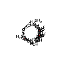 C[C@@H](O)[C@@H]1NC(=O)[C@H](Cc2c[nH]c3ccc(F)cc23)NC(=O)[C@H](Cc2c[nH]c3ccc(F)cc23)NC(=O)CNC(=O)[C@H](CCCCN)NC(=O)CCSCc2cccc(c2)CSC[C@@H](C(N)=O)NC(=O)[C@@H]2CCCN2C(=O)[C@H](Cc2ccc(O)cc2)NC[C@H](Cc2c[nH]cn2)NC1=O